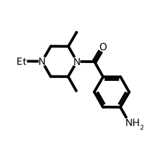 CCN1CC(C)N(C(=O)c2ccc(N)cc2)C(C)C1